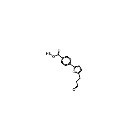 O=CCCc1ccc(-c2ccc(C(=O)OS)cc2)o1